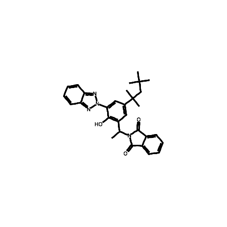 CC(c1cc(C(C)(C)CC(C)(C)C)cc(-n2nc3ccccc3n2)c1O)N1C(=O)c2ccccc2C1=O